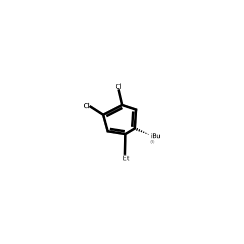 CCc1cc(Cl)c(Cl)cc1[C@@H](C)CC